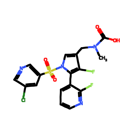 CN(Cc1cn(S(=O)(=O)c2cncc(Cl)c2)c(-c2cccnc2F)c1F)C(=O)O